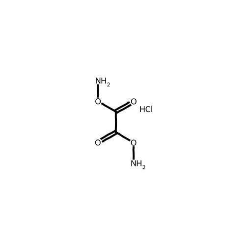 Cl.NOC(=O)C(=O)ON